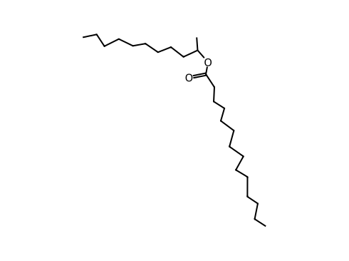 CCCCCCCCCCCCCC(=O)OC(C)CCCCCCCCC